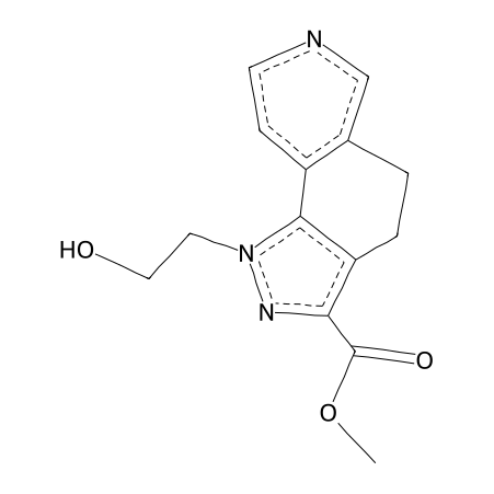 COC(=O)c1nn(CCO)c2c1CCc1cnccc1-2